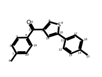 Cc1ccc(C(=O)c2csc(-c3ccc(C)cc3)c2)cc1